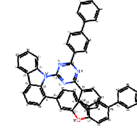 c1ccc(-c2ccc(-c3nc(-c4ccccc4)nc(-n4c5ccccc5c5cccc(-c6ccc7c(c6)oc6ccc(-c8ccccc8)cc67)c54)n3)cc2)cc1